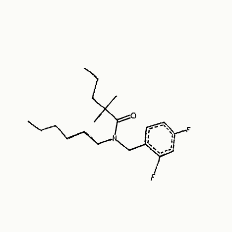 CCCCCCN(Cc1ccc(F)cc1F)C(=O)C(C)(C)CCC